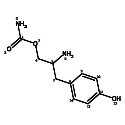 NC(=O)OCC(N)Cc1ccc(O)cc1